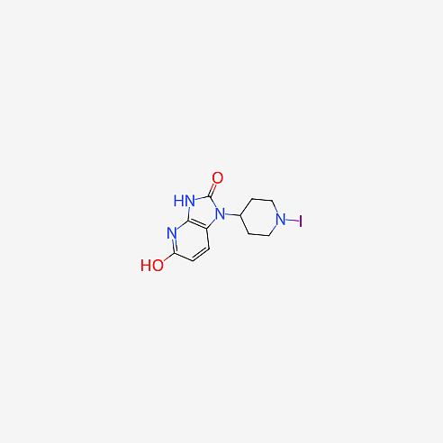 O=c1[nH]c2nc(O)ccc2n1C1CCN(I)CC1